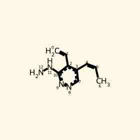 C=Cc1c(/C=C\C)cnnc1NN